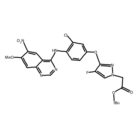 COc1cc2ncnc(Nc3ccc(Oc4nn(CC(=O)OC(C)(C)C)cc4F)cc3Cl)c2cc1[N+](=O)[O-]